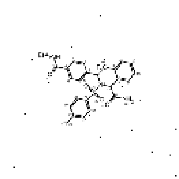 CCNC(=O)c1ccc(CN(C(C(N)=O)c2ccccc2C(F)(F)F)S(=O)(=O)c2ccc(Cl)cc2)cc1